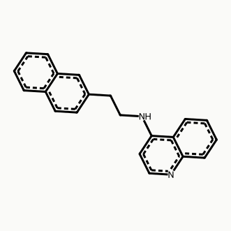 c1ccc2cc(CCNc3ccnc4ccccc34)ccc2c1